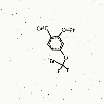 CCOc1cc(OC(F)(F)Br)ccc1C=O